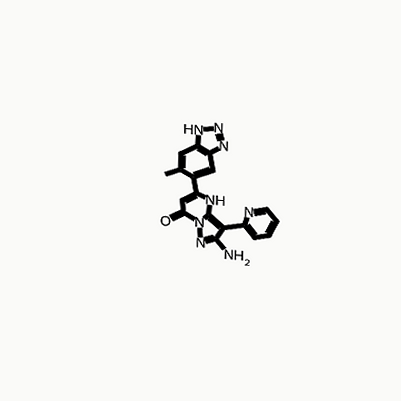 Cc1cc2[nH]nnc2cc1-c1cc(=O)n2nc(N)c(-c3ccccn3)c2[nH]1